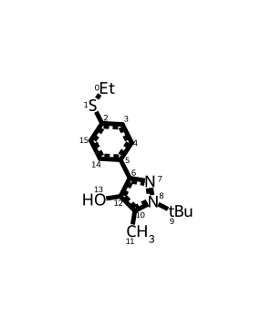 CCSc1ccc(-c2nn(C(C)(C)C)c(C)c2O)cc1